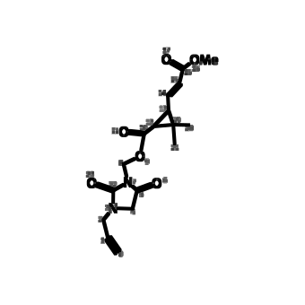 C#CCN1CC(=O)N(COC(=O)C2C(C=CC(=O)OC)C2(C)C)C1=O